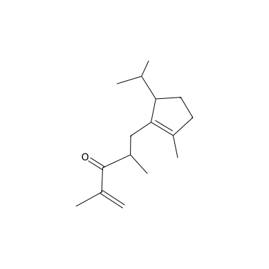 C=C(C)C(=O)C(C)CC1=C(C)CCC1C(C)C